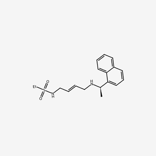 CCS(=O)(=O)NC/C=C/CN[C@H](C)c1cccc2ccccc12